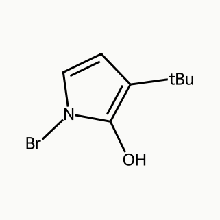 CC(C)(C)c1ccn(Br)c1O